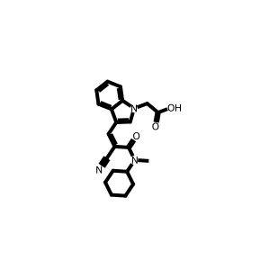 CN(C(=O)C(C#N)=Cc1cn(CC(=O)O)c2ccccc12)C1CCCCC1